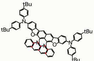 CC(C)(C)c1ccc(N(c2ccc(C(C)(C)C)cc2)c2ccc3c(c2)oc2c(N(c4ccccc4)c4ccccc4)c4c(N(c5ccccc5)c5ccccc5)c5oc6cc(N(c7ccc(C(C)(C)C)cc7)c7ccc(C(C)(C)C)cc7)ccc6c5cc4cc23)cc1